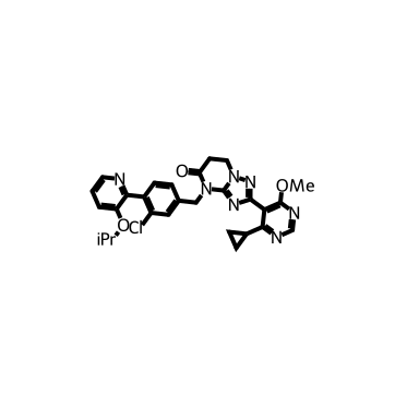 COc1ncnc(C2CC2)c1-c1nc2n(n1)CCC(=O)N2Cc1ccc(-c2ncccc2OC(C)C)c(Cl)c1